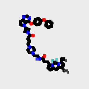 CC1=CC(C)=[N+]2C1=Cc1ccc(CCC(=O)NCCN3CCN(CC=CC(=O)N4CC(n5ccc6ncnc(Oc7ccc(Oc8ccccc8)cc7)c65)C4)CC3)n1[B-]2(F)F